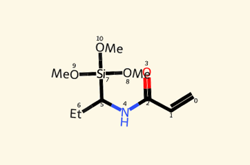 C=CC(=O)NC(CC)[Si](OC)(OC)OC